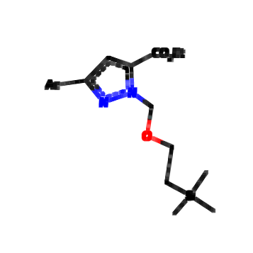 CCOC(=O)c1cc(C(C)=O)nn1COCC[Si](C)(C)C